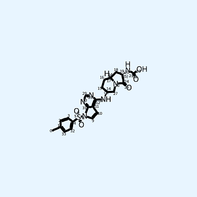 Cc1ccc(S(=O)(=O)n2ccc3c(N[C@H]4CC[C@H]5C[C@H](NC(=O)O)C(=O)N5C4)ncnc32)cc1